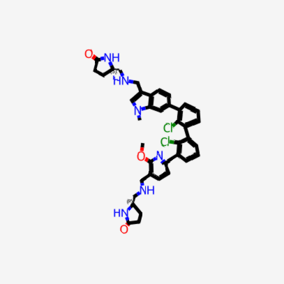 COc1nc(-c2cccc(-c3cccc(-c4ccc5c(CNC[C@@H]6CCC(=O)N6)cn(C)c5c4)c3Cl)c2Cl)ccc1CNC[C@H]1CCC(=O)N1